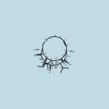 CC=C1NC(=O)[C@H]2CSSCCC=C[C@H](CC(=O)N[C@H](C(C)C)C(=O)N2)OC(=O)C(C(C)C)NC1=O